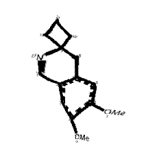 COc1cc2c(cc1OC)CC1(CCC1)N=C2